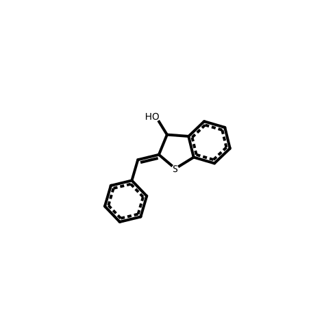 OC1/C(=C/c2ccccc2)Sc2ccccc21